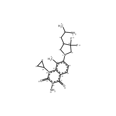 Cc1c(N2CC(CC(C)N)C(F)(F)C2)ccc2c(=O)n(N)c(=O)n(C3CC3)c12